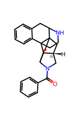 O=C(c1ccccc1)N1C[C@H]2CC34CCC1C2C31CCNC4Cc2ccccc21